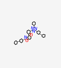 c1ccc(-c2ccc(-c3nc(-c4ccccc4)nc(-c4cccc5c4oc4ccc6oc(-c7ccc(-c8ccccc8)cc7)nc6c45)n3)cc2)cc1